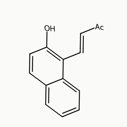 CC(=O)C=Cc1c(O)ccc2ccccc12